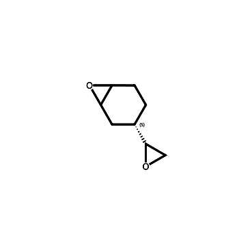 C1C[C@H](C2CO2)CC2OC12